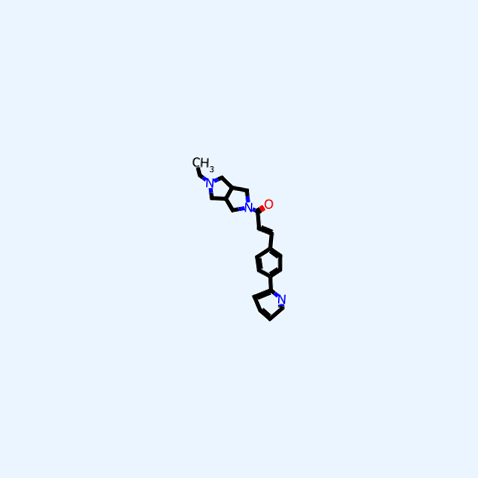 CCN1CC2CN(C(=O)/C=C/c3ccc(-c4ccccn4)cc3)CC2C1